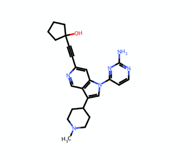 CN1CCC(c2cn(-c3ccnc(N)n3)c3cc(C#CC4(O)CCCC4)ncc23)CC1